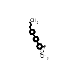 C=CCCc1ccc(-c2ccc(-c3ccc(OCC)c(F)c3)cc2)cc1